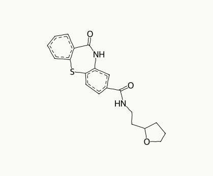 O=C(NCCC1CCCO1)c1ccc2c(c1)NC(=O)c1ccccc1S2